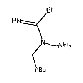 CCCCCN(N)C(=N)CC